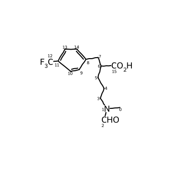 CN(C=O)CCCC(Cc1ccc(C(F)(F)F)cc1)C(=O)O